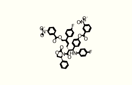 O=C(OCC(=CC[C@@H](C(=O)N1C(=O)OC[C@@H]1c1ccccc1)[C@H](Nc1ccc(F)cc1)c1ccc(OC(=O)c2cccc([N+](=O)[O-])c2)cc1)c1ccc(F)cc1)c1cccc([N+](=O)[O-])c1